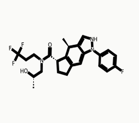 C[C@H]1C2=CNN(c3ccc(F)cc3)C2=CC2=C1[C@@H](C(=O)N(CCC(F)(F)F)C[C@H](C)O)CC2